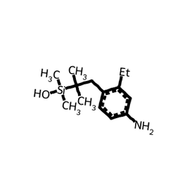 CCc1cc(N)ccc1CC(C)(C)[Si](C)(C)O